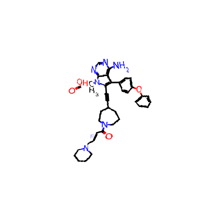 Cn1c(C#CC2CCCN(C(=O)/C=C/CN3CCCCC3)CC2)c(-c2ccc(Oc3ccccc3)cc2)c2c(N)ncnc21.O=CO